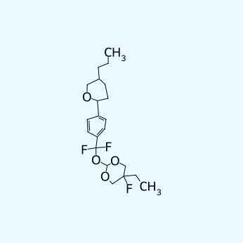 CCCC1CCC(c2ccc(C(F)(F)OC3OCC(F)(CC)CO3)cc2)OC1